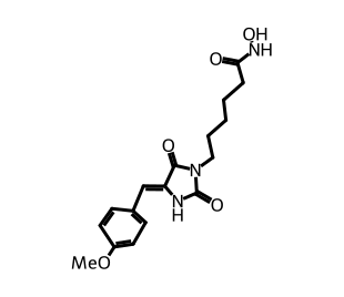 COc1ccc(/C=C2\NC(=O)N(CCCCCC(=O)NO)C2=O)cc1